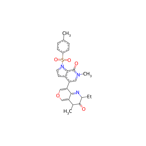 CCC1N=C2C(c3cn(C)c(=O)c4c3ccn4S(=O)(=O)c3ccc(C)cc3)=COC=C2C(C)C1=O